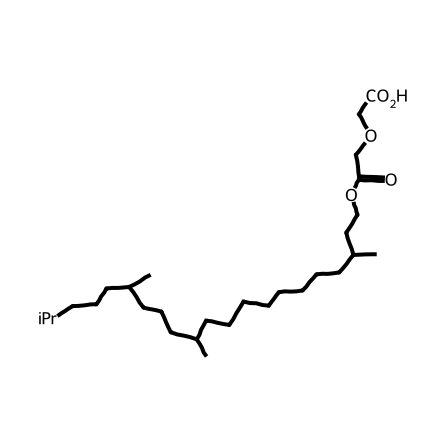 CC(C)CCCC(C)CCCC(C)CCCCCCCCC(C)CCOC(=O)COCC(=O)O